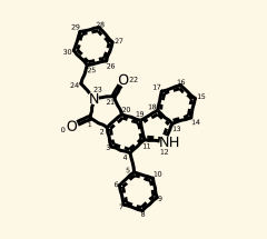 O=C1c2cc(-c3ccccc3)c3[nH]c4ccccc4c3c2C(=O)N1Cc1ccccc1